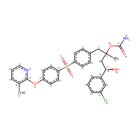 CC(C)(C)C(Cc1ccc(S(=O)(=O)c2ccc(Oc3ncccc3C=O)cc2)cc1)(C[C@@H](O)c1cccc(Cl)c1)OC(N)=O